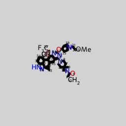 C=CC(=O)N1CC2(CCN(c3nc(OC4CC5CC4CN5CCOC)nc4c(OCC(F)(F)F)c(-c5c(C)ccc6[nH]ncc56)c(C5CC5)cc34)CC2)C1